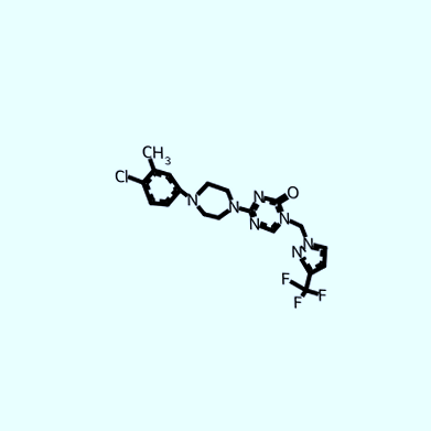 Cc1cc(N2CCN(c3ncn(Cn4ccc(C(F)(F)F)n4)c(=O)n3)CC2)ccc1Cl